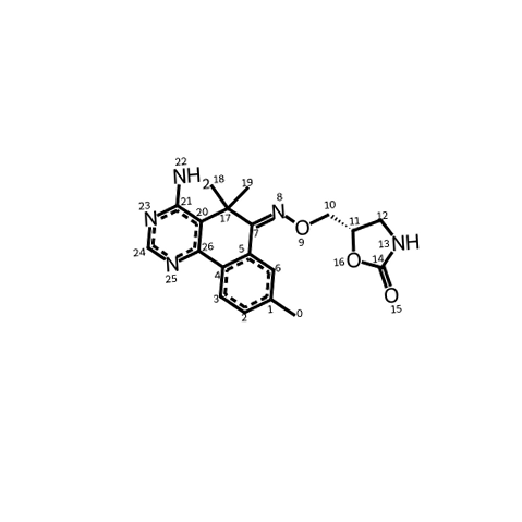 Cc1ccc2c(c1)/C(=N\OC[C@@H]1CNC(=O)O1)C(C)(C)c1c(N)ncnc1-2